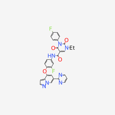 CCn1cc(C(=O)Nc2ccc(Oc3cc(-c4ncccn4)cn4nccc34)c(F)c2)c(=O)n(-c2ccc(F)cc2)c1=O